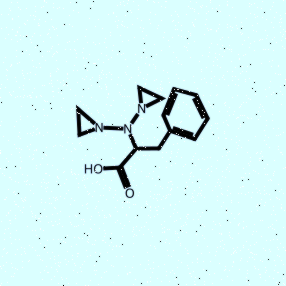 O=C(O)C(Cc1ccccc1)N(N1CC1)N1CC1